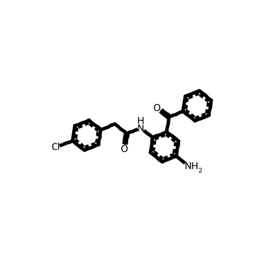 Nc1ccc(NC(=O)Cc2ccc(Cl)cc2)c(C(=O)c2ccccc2)c1